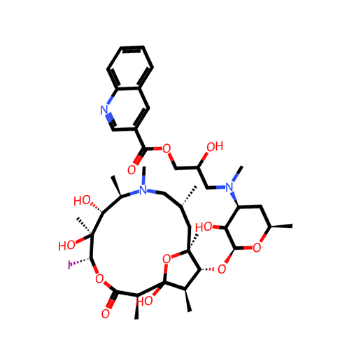 C[C@H]1CN(C)[C@H](C)[C@@H](O)[C@](C)(O)[C@@H](I)OC(=O)[C@H](C)C2(O)O[C@@](C)(C1)[C@H](O[C@@H]1O[C@H](C)C[C@H](N(C)CC(O)COC(=O)c3cnc4ccccc4c3)C1O)[C@H]2C